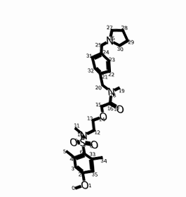 COc1cc(C)c(S(=O)(=O)N(C)CCOCC(=O)N(C)Cc2ccc(CN3CCCC3)cc2)c(C)c1